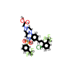 COC(=O)CN1CCN2c3ccc(/C=C/c4c(Cl)cccc4C(F)(F)F)cc3N(S(=O)(=O)c3cccc(C(F)(F)F)c3)CC2C1